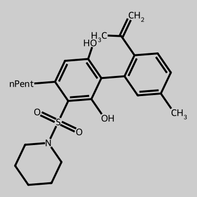 C=C(C)c1ccc(C)cc1-c1c(O)cc(CCCCC)c(S(=O)(=O)N2CCCCC2)c1O